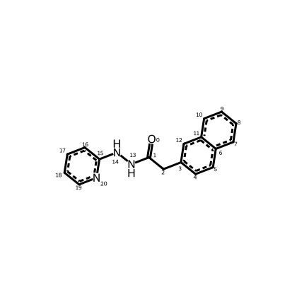 O=C(Cc1ccc2ccccc2c1)NNc1ccccn1